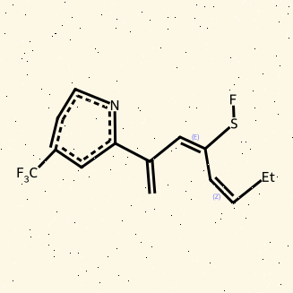 C=C(/C=C(\C=C/CC)SF)c1cc(C(F)(F)F)ccn1